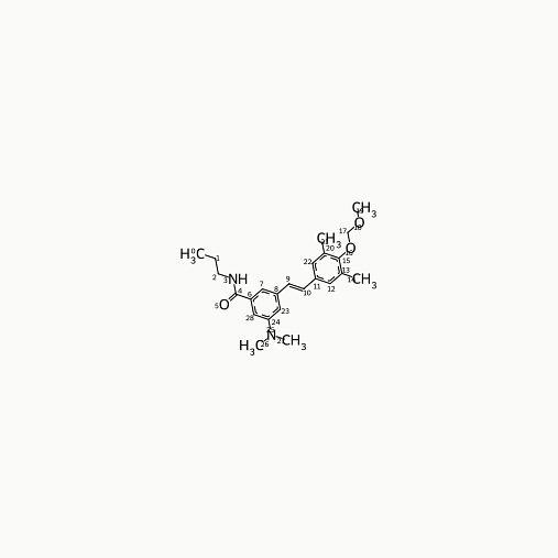 CCCNC(=O)c1cc(C=Cc2cc(C)c(OCOC)c(C)c2)cc(N(C)C)c1